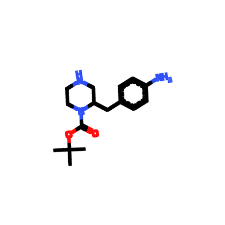 CC(C)(C)OC(=O)N1CCNCC1Cc1ccc(N)cc1